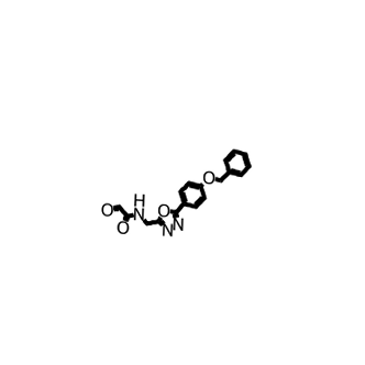 O=CC(=O)NCc1nnc(-c2ccc(OCc3ccccc3)cc2)o1